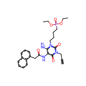 C#CCn1c(=O)c(NC(=O)Cc2cccc3ccccc23)c(N)n(CCCCP(=O)(OCC)OCC)c1=O